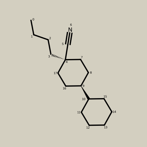 CCCC[C@]1(C#N)CC[C@@H](C2CCCCC2)CC1